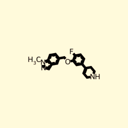 Cn1ncc2cc(COc3cc(C4=CCNCC4)ccc3F)ccc21